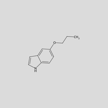 CCCOc1ccc2[nH]ccc2c1